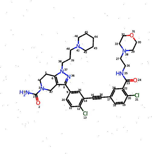 NC(=O)N1CCc2c(c(-c3ccc(Cl)c(C#Cc4ccc(Cl)c(C(=O)NCCN5CCOCC5)c4)c3)nn2CCCN2CCCCC2)C1